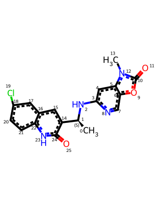 C[C@H](Nc1cc2c(cn1)oc(=O)n2C)c1cc2cc(Cl)ccc2[nH]c1=O